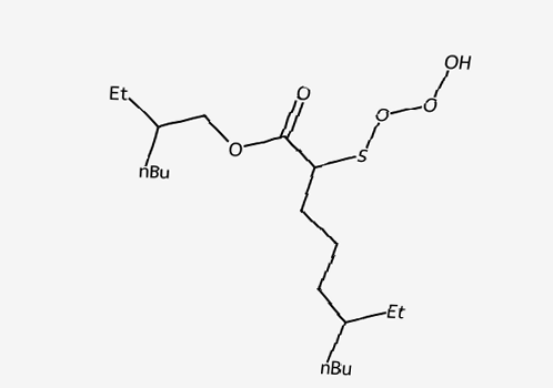 CCCCC(CC)CCCC(SOOO)C(=O)OCC(CC)CCCC